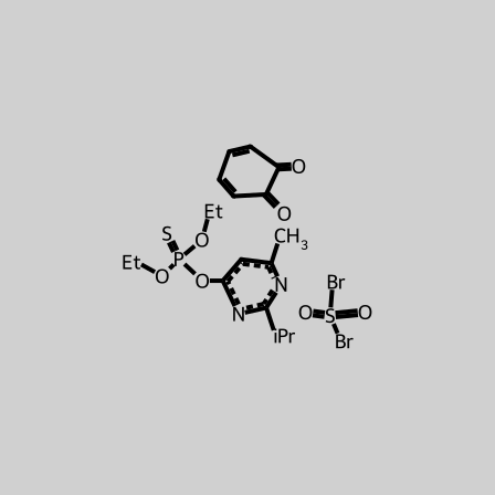 CCOP(=S)(OCC)Oc1cc(C)nc(C(C)C)n1.O=C1C=CC=CC1=O.O=S(=O)(Br)Br